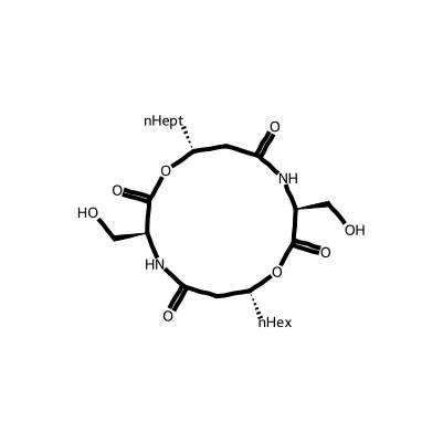 CCCCCCC[C@@H]1CC(=O)N[C@@H](CO)C(=O)O[C@H](CCCCCC)CC(=O)N[C@@H](CO)C(=O)O1